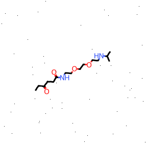 CCC(=O)CCC(=O)NCCOCCOCCNC(C)C